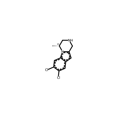 C[C@@H]1CNCc2cc3cc(Cl)c(Cl)cc3n21